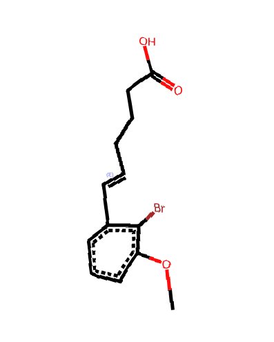 COc1cccc(/C=C/CCCC(=O)O)c1Br